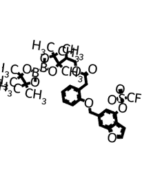 CC(COC(=O)Cc1ccccc1OCc1cc(OS(=O)(=O)C(F)(F)F)c2ccoc2c1)C1(C)OB(B2OC(C)(C)C(C)(C)O2)OC1(C)C